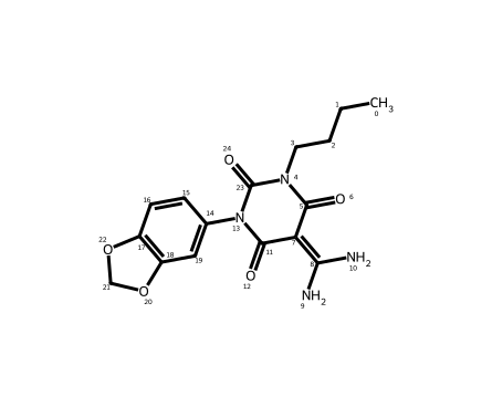 CCCCN1C(=O)C(=C(N)N)C(=O)N(c2ccc3c(c2)OCO3)C1=O